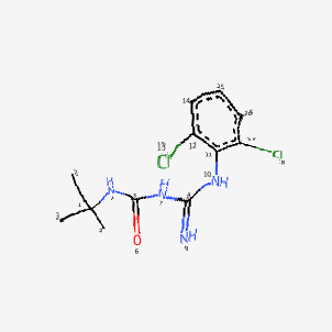 CC(C)(C)NC(=O)NC(=N)Nc1c(Cl)cccc1Cl